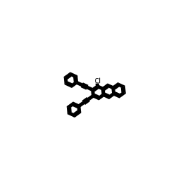 Clc1c(C#Cc2ccccc2)c(C#Cc2ccccc2)cc2cc3ccccc3cc12